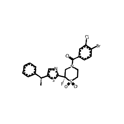 C[C@@H](c1ccccc1)c1cnc([C@@]2(F)CN(C(=O)c3ccc(Br)c(Cl)c3)CCS2(=O)=O)s1